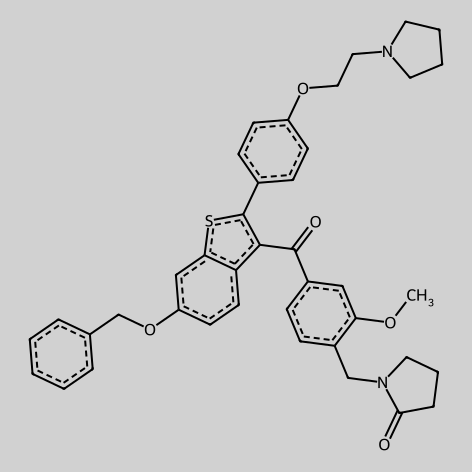 COc1cc(C(=O)c2c(-c3ccc(OCCN4CCCC4)cc3)sc3cc(OCc4ccccc4)ccc23)ccc1CN1CCCC1=O